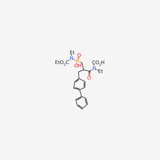 C[CH]OC(=O)N(CC)P(=O)(O)CC(Cc1ccc(-c2ccccc2)cc1)C(=O)N(CC)C(=O)O